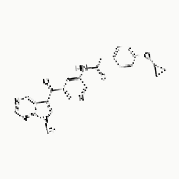 CC(C)n1cc(C(=O)c2cncc(NC(=O)Cc3ccc(OC4CC4)cc3)c2)c2cncnc21